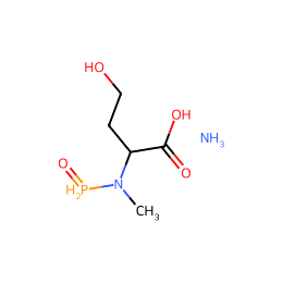 CN([PH2]=O)C(CCO)C(=O)O.N